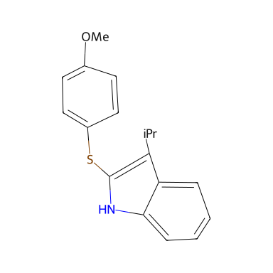 COc1ccc(Sc2[nH]c3ccccc3c2C(C)C)cc1